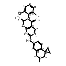 CC1Oc2nc(Nc3ccc4c(c3)CNCC43CC3)ncc2C(=O)N1c1c(F)cccc1Cl